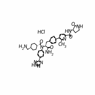 Cc1nc(C(=O)N[C@@H]2CCNC2=O)ccc1-c1ccc(C[C@@H](C(N)=O)N(c2ccc(-c3nn[nH]n3)cc2)C(=O)[C@H]2CC[C@H](CN)CC2)cc1.Cl